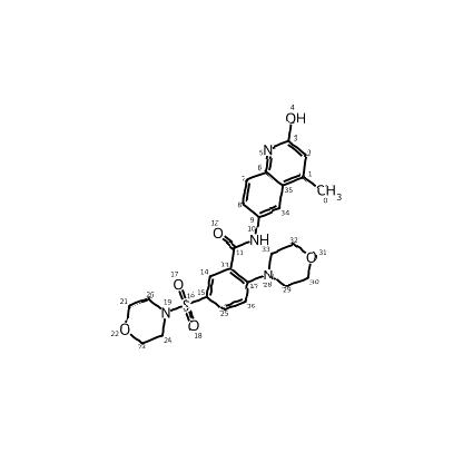 Cc1cc(O)nc2ccc(NC(=O)c3cc(S(=O)(=O)N4CCOCC4)ccc3N3CCOCC3)cc12